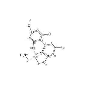 COc1cc(Cl)c(-c2cc(F)cc3c2O[C@@H](CN)CO3)c(Cl)c1